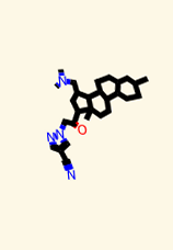 CC1CCC2C(CCC3C2CCC2(C)C(C(=O)Cn4cc(C#N)cn4)CC(CN(C)C)C32)C1